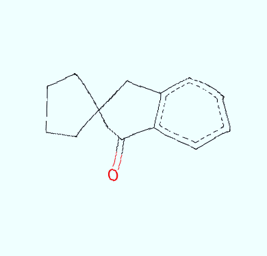 O=C1c2ccccc2CC12CCCC2